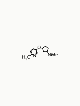 CNC1CCC(Oc2ccc(C)nc2)C1